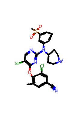 Cc1cc(C#N)cc(Cl)c1Oc1nc(N(c2cccc(S(C)(=O)=O)c2)C2CCNCC2)ncc1Br